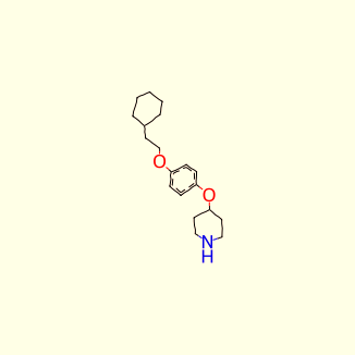 c1cc(OC2CCNCC2)ccc1OCCC1CCCCC1